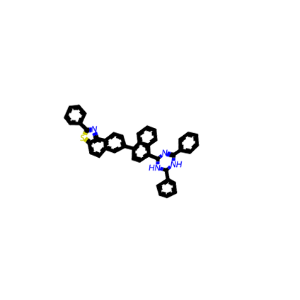 c1ccc(C2=NC(c3ccc(-c4ccc5c(ccc6sc(-c7ccccc7)nc65)c4)c4ccccc34)NC(c3ccccc3)N2)cc1